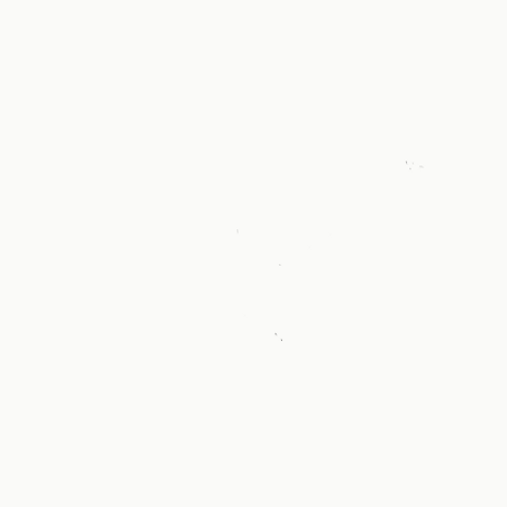 CCOC(=O)C1(S(=O)(=O)c2ccc(OC)cc2)CCN(Cc2ccc(C)cc2)CC1